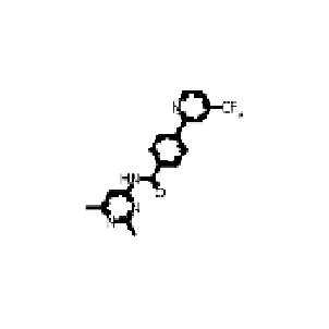 Cc1cc(NC(=O)c2ccc(-c3cc(C(F)(F)F)ccn3)cc2)nc(C)n1